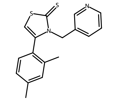 Cc1ccc(-c2csc(=S)n2Cc2cccnc2)c(C)c1